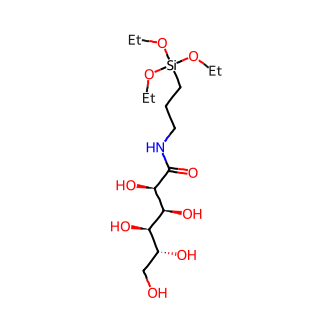 CCO[Si](CCCNC(=O)[C@H](O)[C@@H](O)[C@H](O)[C@H](O)CO)(OCC)OCC